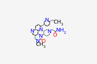 CCc1ccc(-c2ccc3ncc4c(c3n2)N(C2CCN(CC(N)=O)CC2)C(=O)N(C)C4)cn1